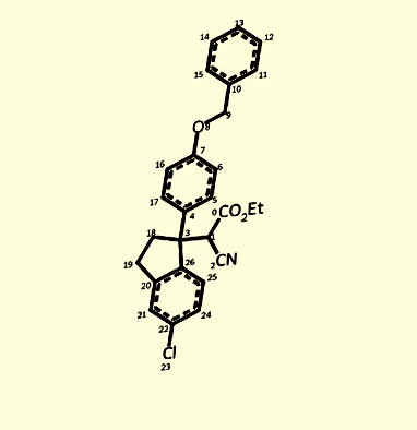 CCOC(=O)C(C#N)C1(c2ccc(OCc3ccccc3)cc2)CCc2cc(Cl)ccc21